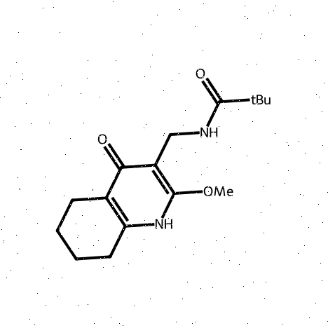 COc1[nH]c2c(c(=O)c1CNC(=O)C(C)(C)C)CCCC2